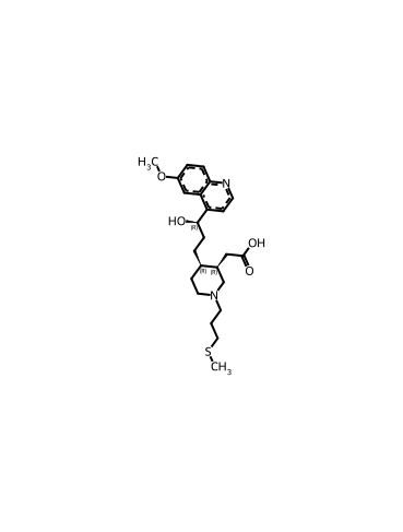 COc1ccc2nccc([C@H](O)CC[C@@H]3CCN(CCCSC)C[C@@H]3CC(=O)O)c2c1